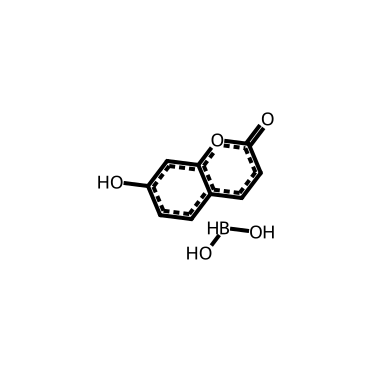 O=c1ccc2ccc(O)cc2o1.OBO